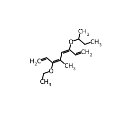 C=C/C(=C\C(C)=C(/C=C)OCC)OC(C)CC